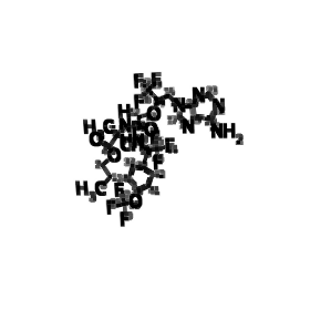 CCCOC(=O)C(C)(C)N[P@@](=O)(CO[C@H](Cn1cnc2c(N)ncnc21)C(F)(F)F)N[C@H](c1ccc(OC(F)(F)F)cc1)C(F)(F)F